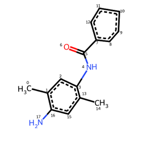 Cc1cc(NC(=O)c2ccccc2)c(C)cc1N